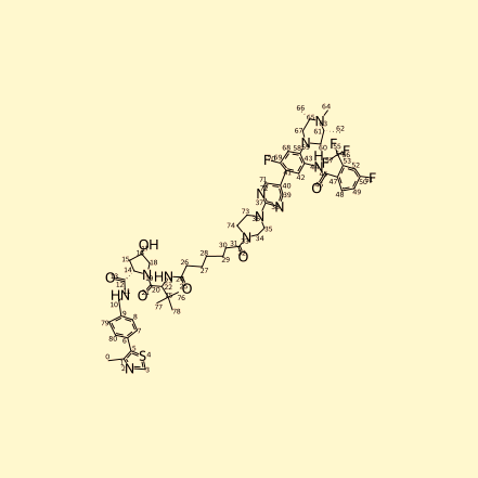 Cc1ncsc1-c1ccc(CNC(=O)[C@@H]2C[C@@H](O)CN2C(=O)C(NC(=O)CCCCCC(=O)N2CCN(c3ncc(-c4cc(NC(=O)c5ccc(F)cc5C(F)(F)F)c(N5C[C@@H](C)N(C)[C@@H](C)C5)cc4F)cn3)CC2)C(C)(C)C)cc1